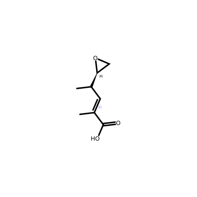 C/C(=C\C(C)[C@@H]1CO1)C(=O)O